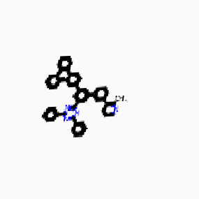 Cc1ncccc1-c1cccc(-c2cc(-c3ccc4c5ccccc5c5ccccc5c4c3)cc(-c3nc(-c4ccccc4)nc(-c4ccccc4)n3)c2)c1